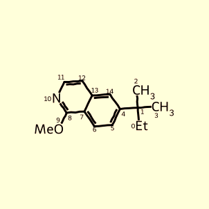 CCC(C)(C)c1ccc2c(OC)nccc2c1